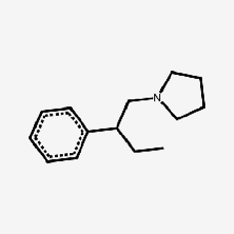 CCC(CN1CCCC1)c1ccccc1